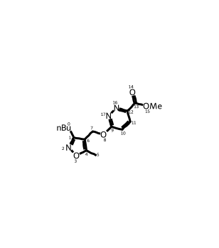 CCCCc1noc(C)c1COc1ccc(C(=O)OC)nn1